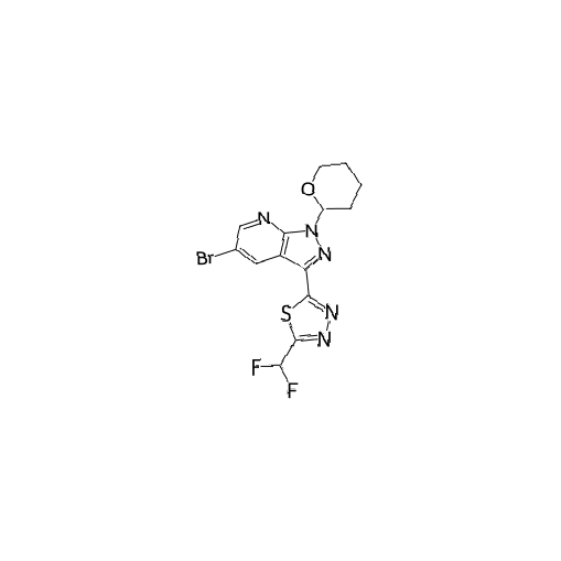 FC(F)c1nnc(-c2nn(C3CCCCO3)c3ncc(Br)cc23)s1